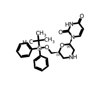 CC(C)(C)[Si](OC[C@@H]1CNC[C@H](n2ccc(=O)[nH]c2=O)O1)(c1ccccc1)c1ccccc1